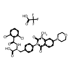 Cn1c(=O)n(-c2ccc(C[C@H](NC(=O)c3c(Cl)cccc3Cl)C(=O)O)cc2)c(=O)c2ccc(N3CCOCC3)cc21.O=C(O)C(F)(F)F